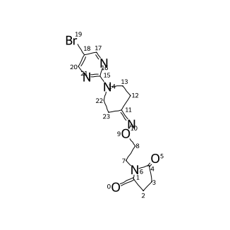 O=C1CCC(=O)N1CCON=C1CCN(c2ncc(Br)cn2)CC1